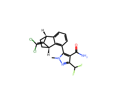 Cn1nc(C(F)F)c(C(N)=O)c1-c1cccc2c1[C@@H]1CC[C@H]2C1=C(Cl)Cl